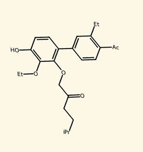 CCOc1c(O)ccc(-c2ccc(C(C)=O)c(CC)c2)c1OCC(=O)CCC(C)C